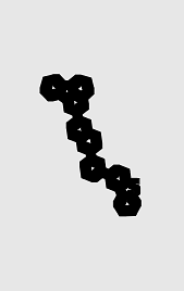 c1cc(-c2ccc3cc(-c4cc5c6c(cccc6c4)-c4ccccc4-5)ccc3c2)cc(-c2ccc3sc4ccccc4c3c2)c1